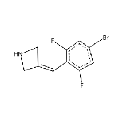 Fc1cc(Br)cc(F)c1C=C1CNC1